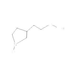 CCCCOCCC1CCN(CC)C1